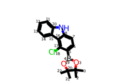 CC1(C)OB(c2ccc3[nH]c4ccccc4c3c2Cl)OC1(C)C